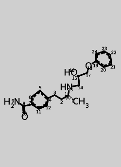 C[C@H](CCc1ccc(C(N)=O)cc1)NCC(O)COc1ccccc1